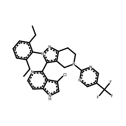 CCc1cccc(CC)c1-n1nc2c(c1-c1nccc3[nH]cc(Cl)c13)CN(c1ncc(C(F)(F)F)cn1)CC2